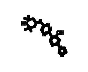 CC1(C)CC(Sc2cnc(-c3ccc(-n4ccnc4)cc3O)nn2)CC(C)(C)N1